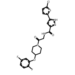 O=C(NCC(=O)N1CCC(Oc2cc(F)ccc2F)CC1)c1cc(-c2ccc(Cl)s2)[nH]n1